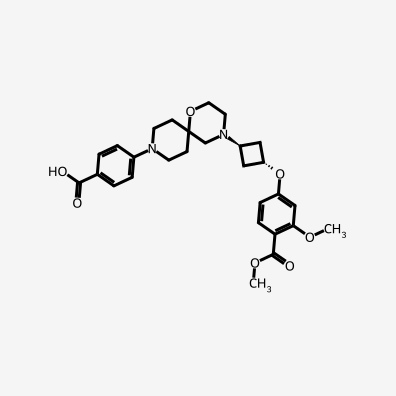 COC(=O)c1ccc(O[C@H]2C[C@H](N3CCOC4(CCN(c5ccc(C(=O)O)cc5)CC4)C3)C2)cc1OC